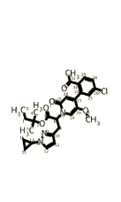 CCC(C)(C)OC(=O)C(Cc1ccn(C2CC2)n1)n1cc(OC)c(-c2cc(Cl)ccc2C(C)=O)cc1=O